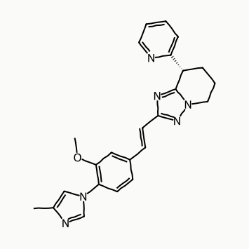 COc1cc(/C=C/c2nc3n(n2)CCC[C@H]3c2ccccn2)ccc1-n1cnc(C)c1